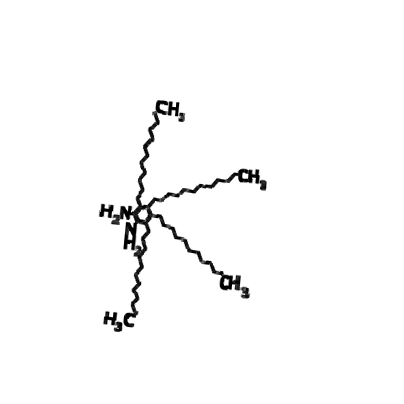 CCCCCCCCCCCCc1c(N)c(N)c(CCCCCCCCCCCC)c(CCCCCCCCCCCC)c1CCCCCCCCCCCC